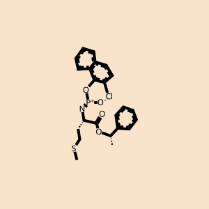 CSCC[C@H](/N=[P+](\[O-])Oc1c(Cl)ccc2ccccc12)C(=O)O[C@@H](C)c1ccccc1